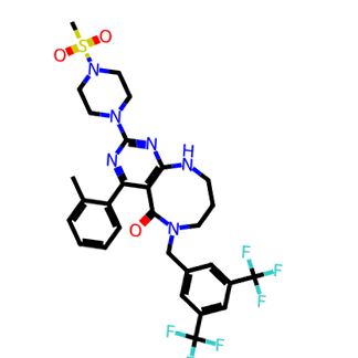 Cc1ccccc1-c1nc(N2CCN(S(C)(=O)=O)CC2)nc2c1C(=O)N(Cc1cc(C(F)(F)F)cc(C(F)(F)F)c1)CCCN2